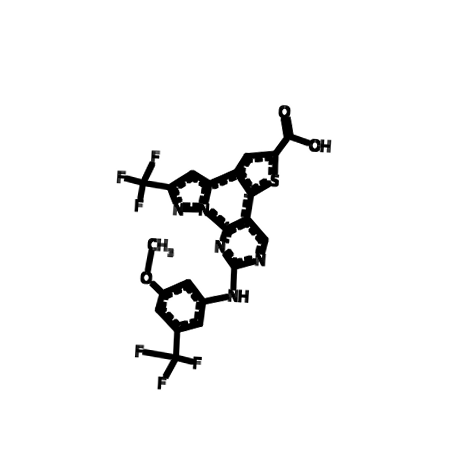 COc1cc(Nc2ncc3c4sc(C(=O)O)cc4c4cc(C(F)(F)F)nn4c3n2)cc(C(F)(F)F)c1